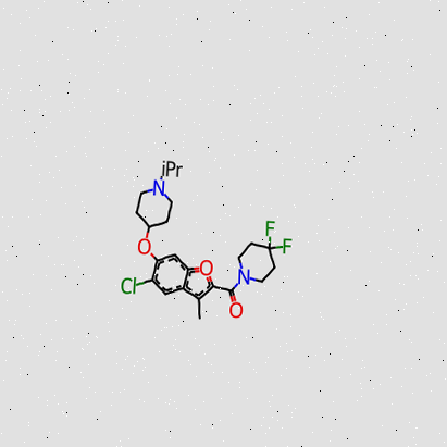 Cc1c(C(=O)N2CCC(F)(F)CC2)oc2cc(OC3CCN(C(C)C)CC3)c(Cl)cc12